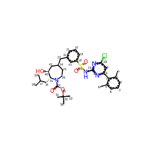 Cc1cccc(C)c1-c1cc(Cl)nc(NS(=O)(=O)c2cccc(CC3CCN(C(=O)OC(C)(C)C)[C@H](CC(C)C)[C@@H](O)C3)c2)n1